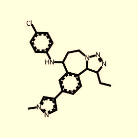 CCC1N=NN2CCC(Nc3ccc(Cl)cc3)c3cc(-c4cnn(C)c4)ccc3C12